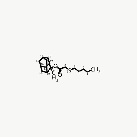 CCCCCSCC(=O)OC1(C)C2CC3CC(C2)CC1C3